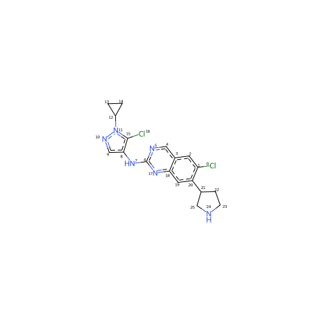 Clc1cc2cnc(Nc3cnn(C4CC4)c3Cl)nc2cc1C1CCNC1